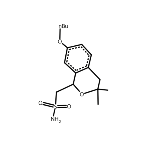 CCCCOc1ccc2c(c1)C(CS(N)(=O)=O)OC(C)(C)C2